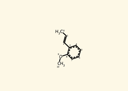 CC=Cc1ccccc1OC